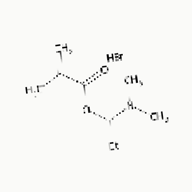 Br.C=C(C)C(=O)OC(CC)N(C)C